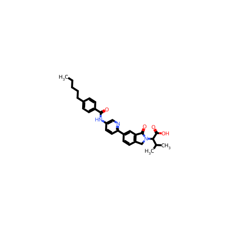 CCCCCc1ccc(C(=O)Nc2ccc(-c3ccc4c(c3)C(=O)N(C(C(=O)O)C(C)C)C4)nc2)cc1